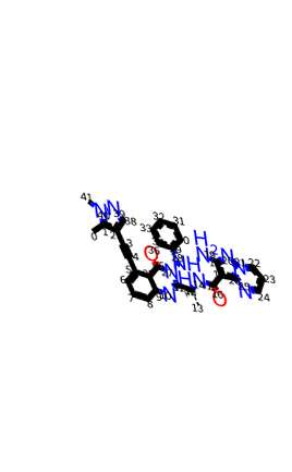 Cc1c(C#CC2=CC=CC3N=C([C@@H](C)NC(=O)c4c(N)nn5cccnc45)N(Nc4ccccc4)C(=O)C23)cnn1C